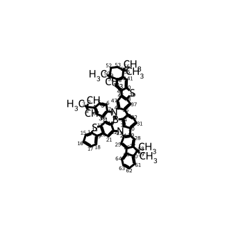 CC(C)(C)c1ccc(N2B3c4cc5sc6ccccc6c5cc4-n4c5cc6c(cc5c5ccc(c3c54)-c3cc4sc5cc7c(cc5c4cc32)C(C)(C)CCC7(C)C)C(C)(C)c2ccccc2-6)cc1